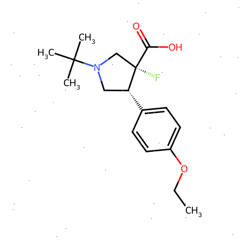 CCOc1ccc([C@@H]2CN(C(C)(C)C)C[C@@]2(F)C(=O)O)cc1